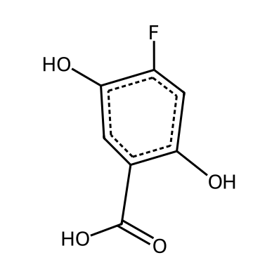 O=C(O)c1cc(O)c(F)cc1O